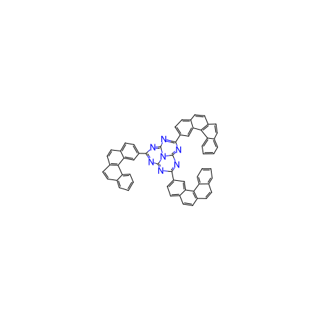 c1ccc2c(c1)ccc1ccc3ccc(C4=NC5=NC(c6ccc7ccc8ccc9ccccc9c8c7c6)=NC6=NC(c7ccc8ccc9ccc%10ccccc%10c9c8c7)=NC(=N4)N56)cc3c12